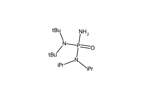 CC(C)N(C(C)C)P(N)(=O)N(C(C)(C)C)C(C)(C)C